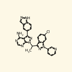 CC(c1nn(-c2cccnc2)c2cc(Cl)ccc12)n1nc(-c2ccc3[nH]ncc3c2)c2c(N)ncnc21